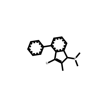 [Li][C]1=C(C)C(P(C)C)c2cccc(-c3ccccc3)c21